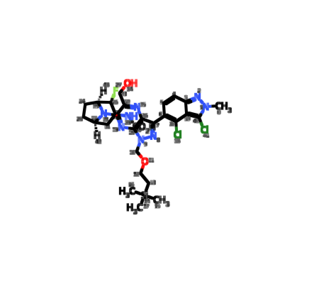 Cn1nc2ccc(-c3nn(COCC[Si](C)(C)C)c4nc(N5[C@@H]6CC[C@H]5[C@@H](F)[C@@H](NC(=O)O)C6)c(CO)nc34)c(Cl)c2c1Cl